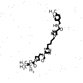 Cc1ccc(CNC(=O)c2cn(CCCCc3nnc(N(C=O)CC4CN(C(=O)OC(C)(C)C)C4)s3)nn2)cn1